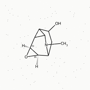 CN1C2C3C(O)CC1[C@H]1O[C@H]1C32